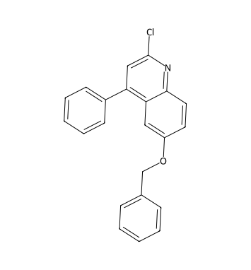 Clc1cc(-c2ccccc2)c2cc(OCc3ccccc3)ccc2n1